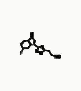 O=NCCc1nc(-c2c[nH]c3ccc(F)cc23)no1